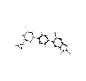 Cc1nc2cc(O)c(-c3cnc(N4C[C@@H](C)N[C@@H](C5CC5)C4)nn3)cc2o1